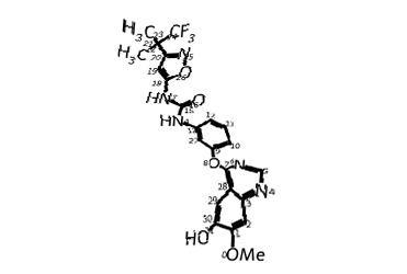 COc1cc2ncnc(Oc3cccc(NC(=O)Nc4cc(C(C)(C)C(F)(F)F)no4)c3)c2cc1O